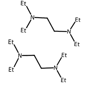 CCN(CC)CCN(CC)CC.CCN(CC)CCN(CC)CC